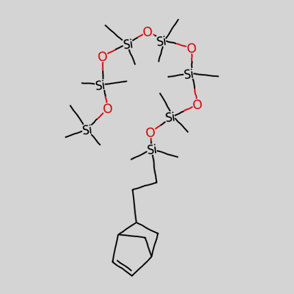 C[Si](C)(C)O[Si](C)(C)O[Si](C)(C)O[Si](C)(C)O[Si](C)(C)O[Si](C)(C)O[Si](C)(C)CCC1CC2C=CC1C2